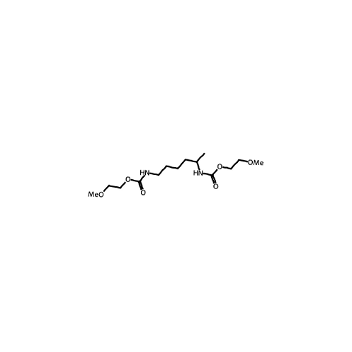 COCCOC(=O)NCCCCC(C)NC(=O)OCCOC